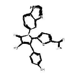 O=C(O)c1ccc(C2C(c3ccc(O)cc3)=C(O)C(=O)N2c2ccc3[nH]cnc3c2)o1